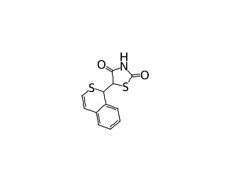 O=C1NC(=O)C(C2SC=Cc3ccccc32)S1